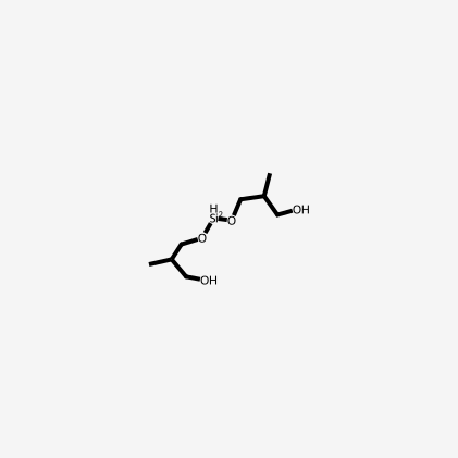 CC(CO)CO[SiH2]OCC(C)CO